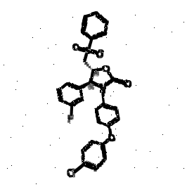 O=C1O[C@@H](CS(=O)(=O)c2ccccc2)[C@H](c2cccc(F)c2)N1c1ccc(Oc2ccc(Cl)cc2)cc1